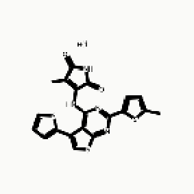 CC1=C(Nc2nc(-c3ccc(C)s3)nc3scc(-c4cccs4)c23)C(=O)NC1=O.Cl